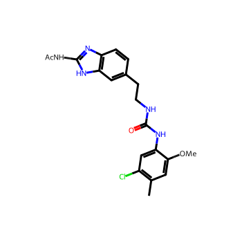 COc1cc(C)c(Cl)cc1NC(=O)NCCc1ccc2nc(NC(C)=O)[nH]c2c1